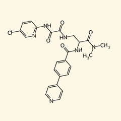 CN(C)C(=O)C(CNC(=O)C(=O)Nc1ccc(Cl)cn1)NC(=O)c1ccc(-c2ccncc2)cc1